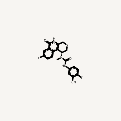 CN(C(=O)Nc1ccc(F)c(C#N)c1)[C@@H]1CSCc2[nH]c(=O)c3cc(F)ccc3c21